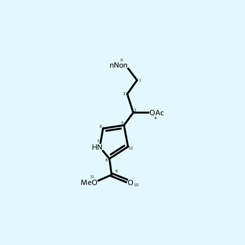 CCCCCCCCCCCC(OC(C)=O)c1c[nH]c(C(=O)OC)c1